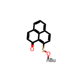 CCCCOSc1ccc2cccc3c2c1C(=O)C=C3